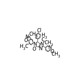 COc1ccc(-c2nc3c(n2C(C)C)C(c2ccc(Cl)cc2)N(c2cc(C)c4onc(C)c4c2)C3=O)cn1